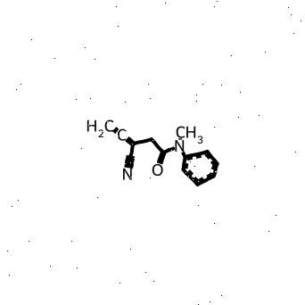 C=C=C(C#N)CC(=O)N(C)c1ccccc1